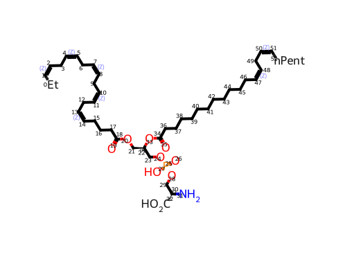 CC/C=C\C/C=C\C/C=C\C/C=C\C/C=C\CCCC(=O)OC[C@H](COP(=O)(O)OC[C@H](N)C(=O)O)OC(=O)CCCCCCCCCCC/C=C\C/C=C\CCCCC